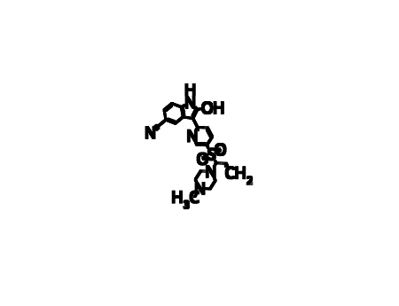 C=CC(N1CCN(C)CC1)S(=O)(=O)c1ccc(-c2c(O)[nH]c3ccc(C#N)cc23)nc1